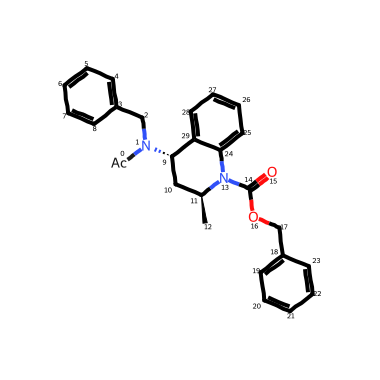 CC(=O)N(Cc1ccccc1)[C@H]1C[C@H](C)N(C(=O)OCc2ccccc2)c2ccccc21